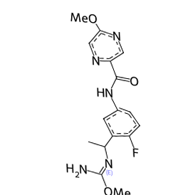 CO/C(N)=N/C(C)c1cc(NC(=O)c2cnc(OC)cn2)ccc1F